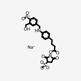 O=C(CCCc1ccc(NCc2ccc([N+](=O)[O-])c(CO)c2)cc1)ON1C(=O)CC(S(=O)(=O)[O-])C1=O.[Na+]